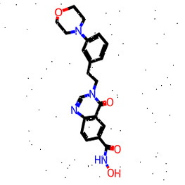 O=C(NO)c1ccc2ncn(CCc3cccc(N4CCOCC4)c3)c(=O)c2c1